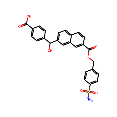 NS(=O)(=O)c1ccc(COC(=O)c2ccc3ccc(C(O)c4ccc(C(=O)O)cc4)cc3c2)cc1